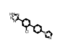 Clc1cc(-c2nn[nH]n2)ccc1-c1ccc(-n2ccnc2)cc1